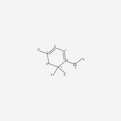 [CH2]C1=CC=C(OC)C(C)(C)C1